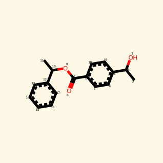 CC(O)c1ccc(C(=O)OC(C)c2ccccc2)cc1